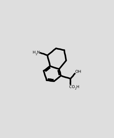 NC1CCCc2c1cccc2C(O)C(=O)O